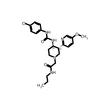 CCCNC(=O)CN1CC[C@@H](NC(=O)Nc2ccc(Cl)cc2)[C@H](c2ccc(OC)cn2)C1